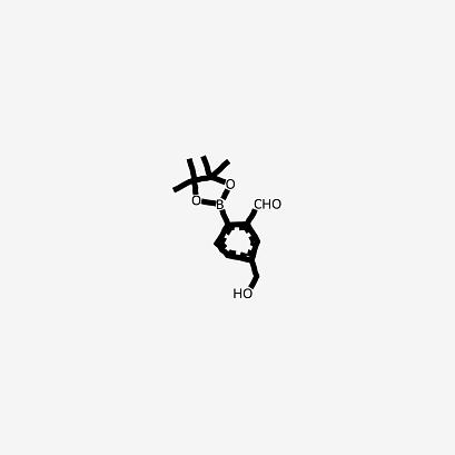 CC1(C)OB(c2ccc(CO)cc2C=O)OC1(C)C